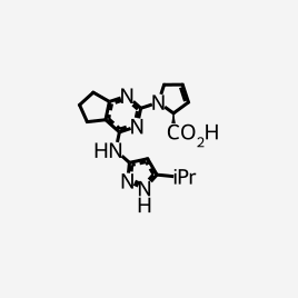 CC(C)c1cc(Nc2nc(N3CC=C[C@H]3C(=O)O)nc3c2CCC3)n[nH]1